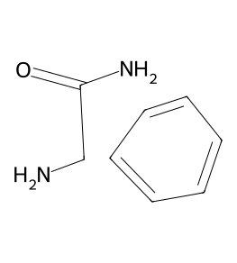 NCC(N)=O.c1ccccc1